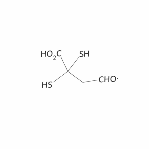 O=[C]CC(S)(S)C(=O)O